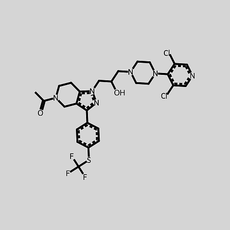 CC(=O)N1CCc2c(c(-c3ccc(SC(F)(F)F)cc3)nn2CC(O)CN2CCN(c3c(Cl)cncc3Cl)CC2)C1